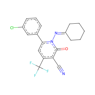 N#Cc1c(C(F)(F)F)cc(-c2cccc(Cl)c2)n(N=C2CCCCC2)c1=O